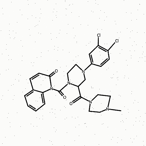 CN1CCN(C(=O)C2CN(c3ccc(Cl)c(Cl)c3)CCN2C(=O)n2c(=O)ccc3ccccc32)CC1